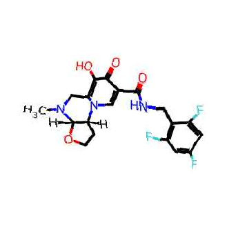 CN1Cc2c(O)c(=O)c(C(=O)NCc3c(F)cc(F)cc3F)cn2[C@@H]2CCO[C@@H]21